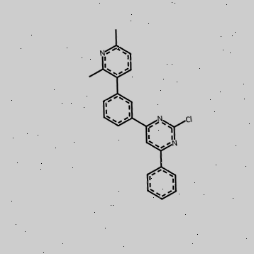 Cc1ccc(-c2cccc(-c3cc(-c4ccccc4)nc(Cl)n3)c2)c(C)n1